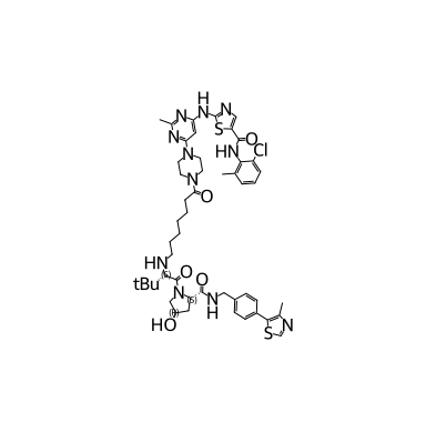 Cc1nc(Nc2ncc(C(=O)Nc3c(C)cccc3Cl)s2)cc(N2CCN(C(=O)CCCCCCN[C@H](C(=O)N3C[C@H](O)C[C@H]3C(=O)NCc3ccc(-c4scnc4C)cc3)C(C)(C)C)CC2)n1